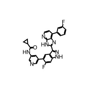 O=C(Nc1cncc(-c2cc3c(-c4nc5c(-c6cccc(F)c6)ccnc5[nH]4)n[nH]c3cc2F)c1)C1CC1